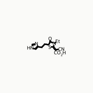 CCN1C(=O)C(CCc2c[nH]cn2)S/C1=C(/C#N)C(=O)O